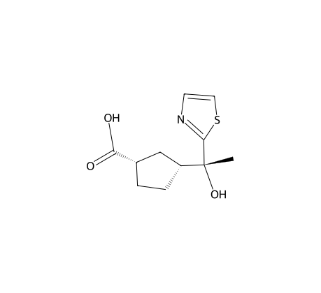 C[C@](O)(c1nccs1)[C@@H]1CC[C@H](C(=O)O)C1